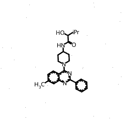 Cc1ccc2c(N3CCC(NC(=O)C(O)C(C)C)CC3)nc(-c3ccccc3)nc2c1